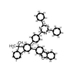 CC1(C)c2ccccc2-c2cc(-c3ccc4c(c3)oc3ccccc34)c(-c3ccc(-c4nc(-c5ccccc5)nc(-c5ccccc5)n4)cc3)cc21